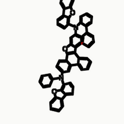 c1ccc(-c2ccccc2N(c2ccc3c(c2)oc2c4ccc(N(c5ccccc5)c5cccc6c5oc5ccccc56)cc4c4ccccc4c32)c2cccc3c2oc2ccccc23)cc1